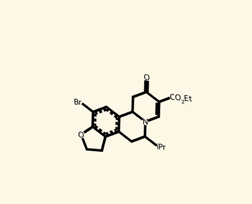 CCOC(=O)C1=CN2C(CC1=O)c1cc(Br)c3c(c1CC2C(C)C)CCO3